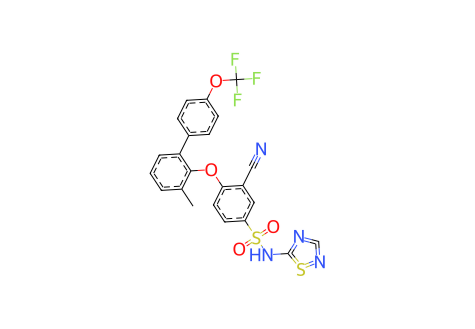 Cc1cccc(-c2ccc(OC(F)(F)F)cc2)c1Oc1ccc(S(=O)(=O)Nc2ncns2)cc1C#N